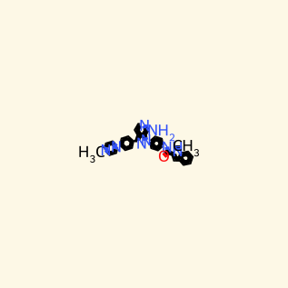 CN1CCN([C@H]2CC[C@H](c3nn(-c4ccc(NC(=O)c5cc6ccccc6n5C)cc4)c4c(N)nccc43)CC2)CC1